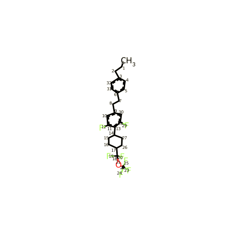 CCCc1ccc(CCc2cc(F)c(C3CCC(C(F)(F)OC(F)(F)F)CC3)c(F)c2)cc1